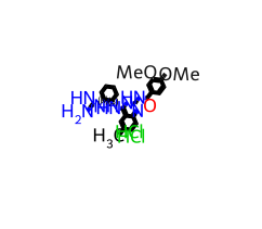 COc1ccc(C(=O)Nc2nc(N[C@H]3CCCC[C@H]3NC(=N)N)c3cc(C)ccc3n2)cc1OC.Cl.Cl